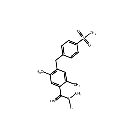 CCN(C)C(=N)c1cc(C)c(Cc2ccc(S(C)(=O)=O)cc2)cc1C